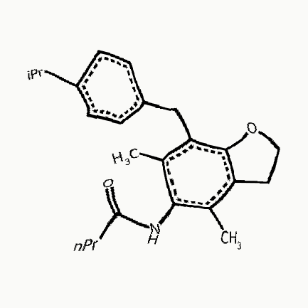 CCCC(=O)Nc1c(C)c2c(c(Cc3ccc(C(C)C)cc3)c1C)OCC2